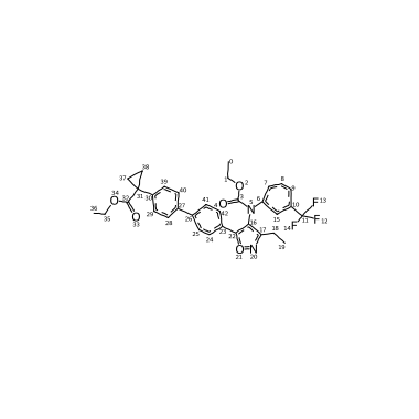 CCOC(=O)N(c1cccc(C(F)(F)F)c1)c1c(CC)noc1-c1ccc(-c2ccc(C3(C(=O)OCC)CC3)cc2)cc1